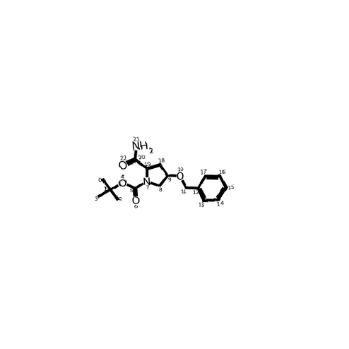 CC(C)(C)OC(=O)N1CC(OCc2ccccc2)CC1C(N)=O